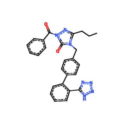 CCCc1nn(C(=O)c2ccccc2)c(=O)n1Cc1ccc(-c2ccccc2-c2nnn[nH]2)cc1